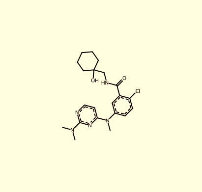 CN(C)c1nccc(N(C)c2ccc(Cl)c(C(=O)NCC3(O)CCCCC3)c2)n1